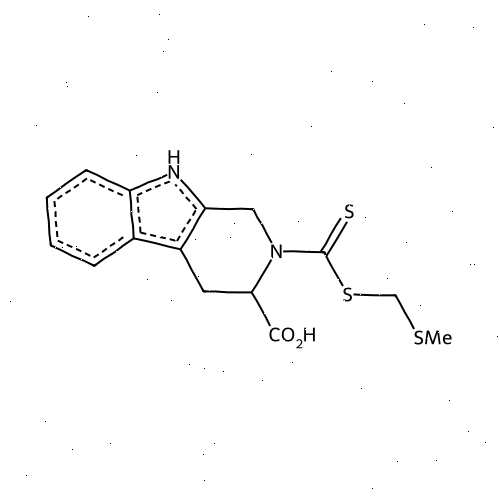 CSCSC(=S)N1Cc2[nH]c3ccccc3c2CC1C(=O)O